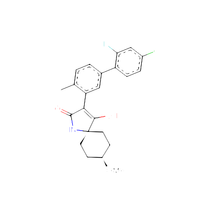 CO[C@H]1CC[C@@]2(CC1)NC(=O)C(c1cc(-c3ccc(Cl)cc3F)ccc1C)=C2O